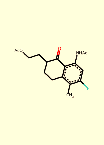 CC(=O)Nc1cc(F)c(C)c2c1C(=O)C(CCOC(C)=O)CC2